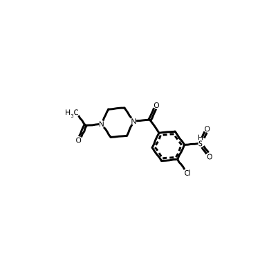 CC(=O)N1CCN(C(=O)c2ccc(Cl)c([SH](=O)=O)c2)CC1